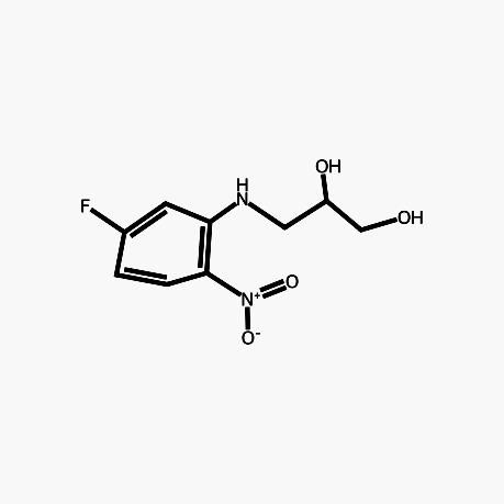 O=[N+]([O-])c1ccc(F)cc1NCC(O)CO